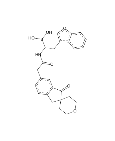 O=C(Cc1ccc2c(c1)C(=O)C1(CCOCC1)C2)N[C@@H](Cc1coc2ccccc12)B(O)O